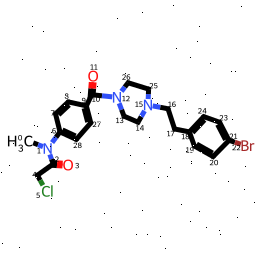 CN(C(=O)CCl)c1ccc(C(=O)N2CCN(CCc3ccc(Br)cc3)CC2)cc1